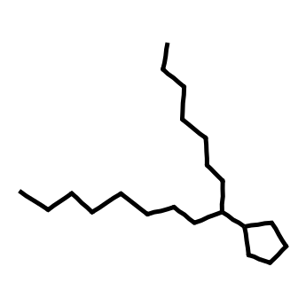 CCCCCCCCC(CCCCCCC)C1CCCC1